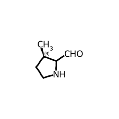 C[C@@H]1CCNC1C=O